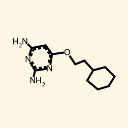 Nc1cc(OCCC2CCCCC2)nc(N)n1